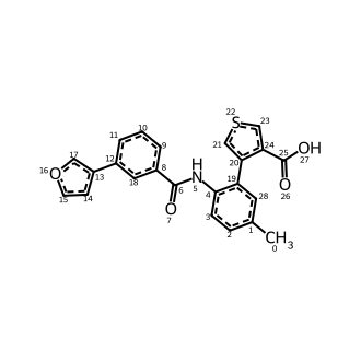 Cc1ccc(NC(=O)c2cccc(-c3ccoc3)c2)c(-c2cscc2C(=O)O)c1